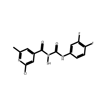 Cc1cc(C(=O)N(S)C(=O)Nc2ccc(F)c(F)c2)cc(Cl)n1